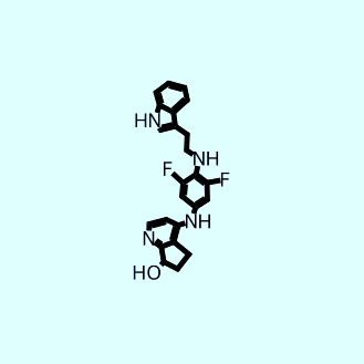 OC1CCc2c(Nc3cc(F)c(NCCc4c[nH]c5ccccc45)c(F)c3)ccnc21